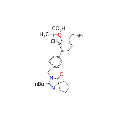 CCCCC1=NC2(CCCC2)C(=O)N1Cc1ccc(-c2ccc(CC(C)C)c(OC(C)(C)C(=O)O)c2)cc1